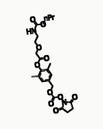 CCCOC(=O)NCCOCC(=O)Oc1c(C)cc(COC(=O)ON2C(=O)CCC2=O)cc1C